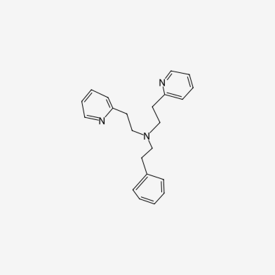 c1ccc(CCN(CCc2ccccn2)CCc2ccccn2)cc1